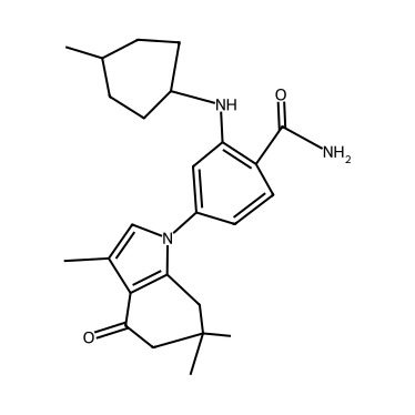 Cc1cn(-c2ccc(C(N)=O)c(NC3CCC(C)CC3)c2)c2c1C(=O)CC(C)(C)C2